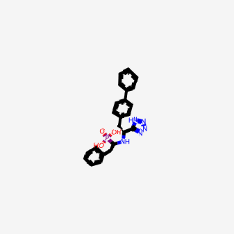 O=P(O)(O)C(Cc1ccccc1)N[C@@H](Cc1ccc(-c2ccccc2)cc1)c1nnn[nH]1